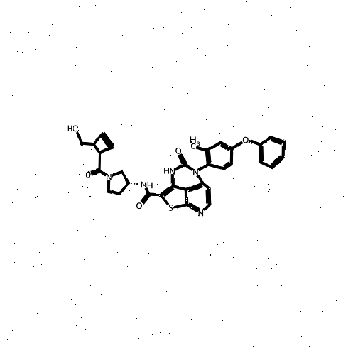 Cc1cc(Oc2ccccc2)ccc1N1C(=O)Nc2c(C(=O)N[C@@H]3CCN(C(=O)C4C#CC4CO)C3)sc3nccc1c23